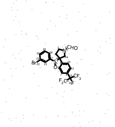 O=CN1CCC(c2ccc(C(F)(C(F)(F)F)C(F)(F)F)cc2)([S+]([O-])c2cccc(Br)c2)C1